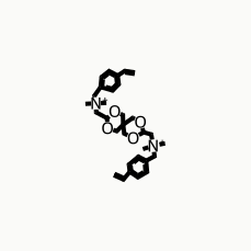 C=Cc1ccc(C[N+](C)(C)CC2OCC3(CO2)COC(C[N+](C)(C)Cc2ccc(C=C)cc2)OC3)cc1